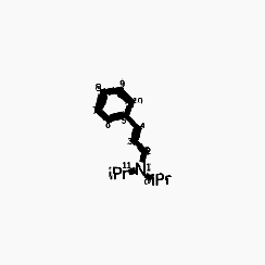 CC(C)N(CC=Cc1ccccc1)C(C)C